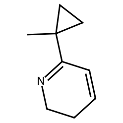 CC1(C2=NCCC=C2)CC1